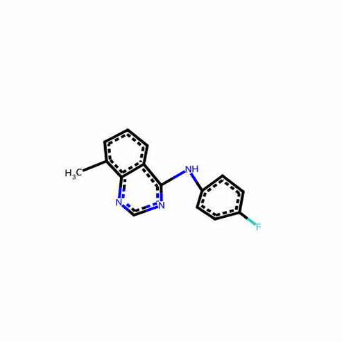 Cc1cccc2c(Nc3ccc(F)cc3)ncnc12